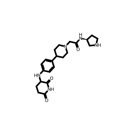 O=C1CCC(Nc2ccc(C3CCN(CC(=O)N[C@H]4CCNC4)CC3)cc2)C(=O)N1